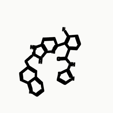 O=C(Nc1nccs1)c1cccc(F)c1-c1ccc2c(n1)NN(Cc1ccc3ncccc3c1)N2